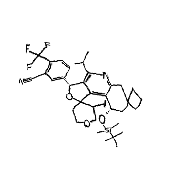 CC(C)c1nc2c(c3c1[C@@H](c1ccc(C(F)(F)F)c(C#N)c1)OC31CCOCC1I)[C@@H](O[Si](C)(C)C(C)(C)C)CC1(CCC1)C2